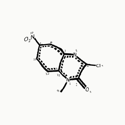 Cn1c(=O)c(Cl)nc2cc([N+](=O)[O-])ccc21